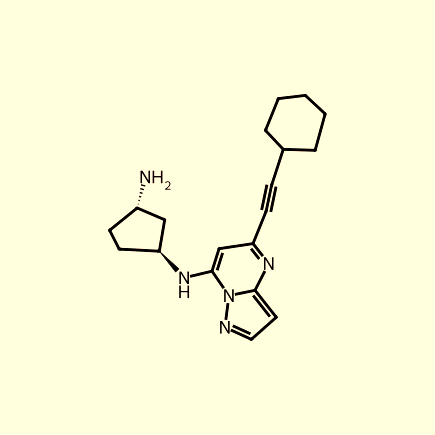 N[C@H]1CC[C@H](Nc2cc(C#CC3CCCCC3)nc3ccnn23)C1